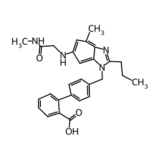 CCCc1nc2c(C)cc(NCC(=O)NC)cc2n1Cc1ccc(-c2ccccc2C(=O)O)cc1